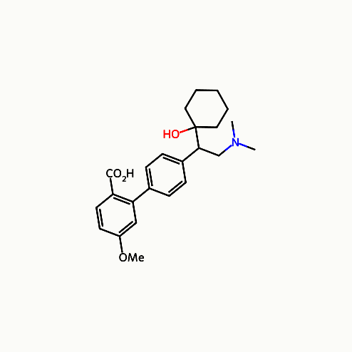 COc1ccc(C(=O)O)c(-c2ccc(C(CN(C)C)C3(O)CCCCC3)cc2)c1